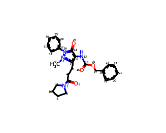 Cn1c(CCC(=O)N2CCCC2)c(NC(=O)OCc2ccccc2)c(=O)n1-c1ccccc1